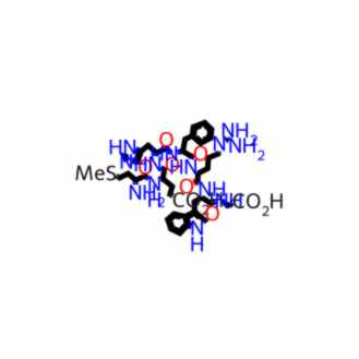 CSCCC(N)C(=O)NC(CCC(=O)O)C(=O)NC(Cc1cnc[nH]1)C(=O)NC(Cc1ccccc1)C(=O)NC(CCCN=C(N)N)C(=O)NC(Cc1c[nH]c2ccccc12)C(=O)NCC(=O)O